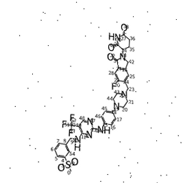 CS(=O)(=O)c1cccc(CNc2nc(Nc3ccc(N4CCN(Cc5cc6c(cc5F)C(=O)N(C5CCC(=O)NC5=O)C6)CC4)cc3)ncc2C(F)(F)F)c1